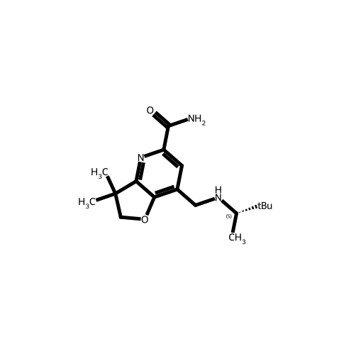 C[C@H](NCc1cc(C(N)=O)nc2c1OCC2(C)C)C(C)(C)C